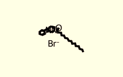 CCCCCCCCCCCCCCCC(=O)N1CCC[N+](C)(Cc2ccccc2)CC1.[Br-]